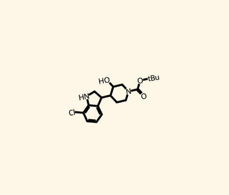 CC(C)(C)OC(=O)N1CCC(C2CNc3c(Cl)cccc32)C(O)C1